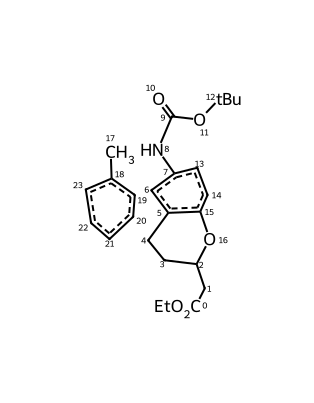 CCOC(=O)CC1CCc2cc(NC(=O)OC(C)(C)C)ccc2O1.Cc1ccccc1